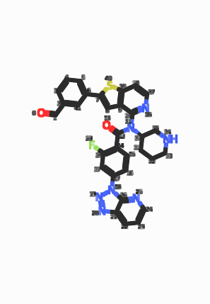 O=Cc1cccc(-c2cc3c(N(C(=O)c4ccc(-n5nnc6cccnc65)cc4F)[C@@H]4CCCNC4)nccc3s2)c1